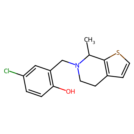 CC1c2sccc2CCN1Cc1cc(Cl)ccc1O